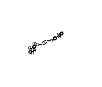 COc1cc2c(cc1OCCCN1CCN(CCCOc3ccc(-c4nc5ccccc5s4)cc3)CC1)N=C[C@@H]1CCCN1C2=O